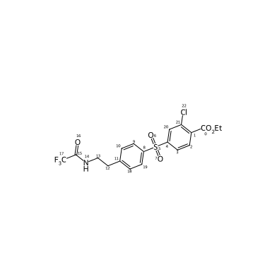 CCOC(=O)c1ccc(S(=O)(=O)c2ccc(CCNC(=O)C(F)(F)F)cc2)cc1Cl